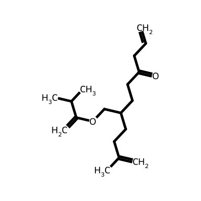 C=CCC(=O)CCC(CCC(=C)C)COC(=C)C(C)C